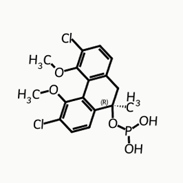 COc1c(Cl)ccc2c1-c1c(ccc(Cl)c1OC)[C@](C)(OP(O)O)C2